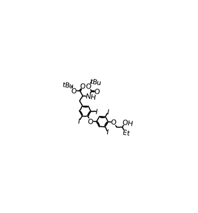 CCC(O)COc1c(I)cc(Oc2c(I)cc(CC(NC(=O)OC(C)(C)C)C(=O)OC(C)(C)C)cc2I)cc1I